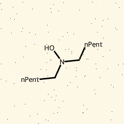 CCCCCCN(O)CCCCCC